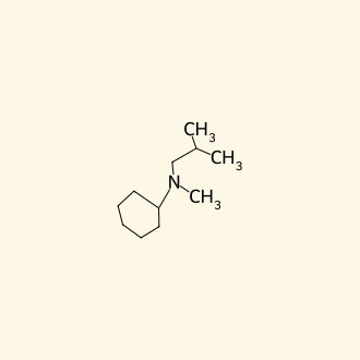 CC(C)CN(C)C1CCCCC1